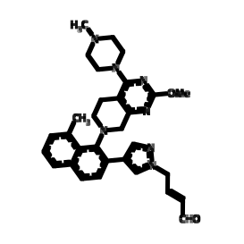 COc1nc2c(c(N3CCN(C)CC3)n1)CCN(c1c(-c3cnn(C/C=C/C=O)c3)ccc3cccc(C)c13)C2